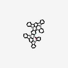 S=P12c3ccccc3-n3c4ccccc4c4cc5c6ccccc6n(c5c1c43)-c1cc3c(cc12)P1(=S)c2ccccc2-n2c4ccccc4c4cc5c6ccccc6n-3c5c1c42